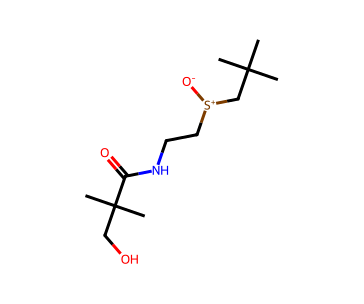 CC(C)(C)C[S+]([O-])CCNC(=O)C(C)(C)CO